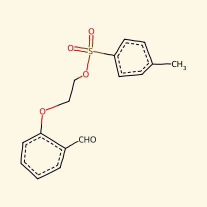 Cc1ccc(S(=O)(=O)OCCOc2ccccc2C=O)cc1